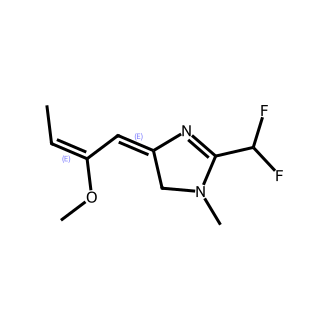 C/C=C(\C=C1/CN(C)C(C(F)F)=N1)OC